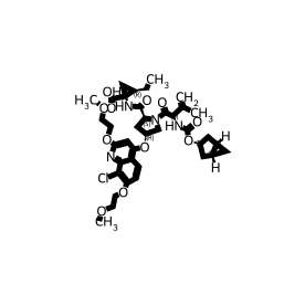 C=C(C)[C@H](NC(=O)O[C@@H]1C[C@@H]2C[C@@H]2C1)C(=O)N1C[C@H](Oc2cc(OCCOC)nc3c(Cl)c(OCCOC)ccc23)C[C@H]1C(=O)N[C@]1(C(=O)O)C[C@H]1CC